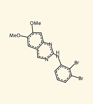 COc1cc2cnc(Nc3cccc(Br)c3Br)nc2cc1OC